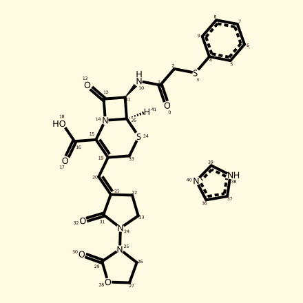 O=C(CSc1ccccc1)N[C@@H]1C(=O)N2C(C(=O)O)=C(C=C3CCN(N4CCOC4=O)C3=O)CS[C@H]12.c1c[nH]cn1